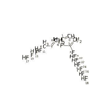 C=C.C=C(F)F.C=CC.F.F.F.F.F.F.F.F.F.F